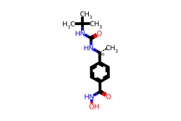 C[C@@H](NC(=O)NC(C)(C)C)c1ccc(C(=O)NO)cc1